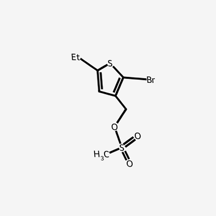 CCc1cc(COS(C)(=O)=O)c(Br)s1